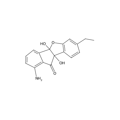 CCc1ccc2c(c1)OC1(O)c3cccc(N)c3C(=O)C21O